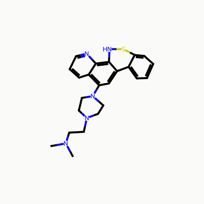 CN(C)CCN1CCN(c2cc3c(c4ncccc24)NSc2ccccc2-3)CC1